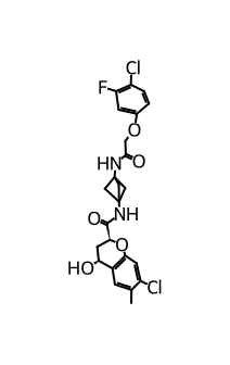 Cc1cc2c(cc1Cl)O[C@H](C(=O)NC13CC(NC(=O)COc4ccc(Cl)c(F)c4)(C1)C3)C[C@@H]2O